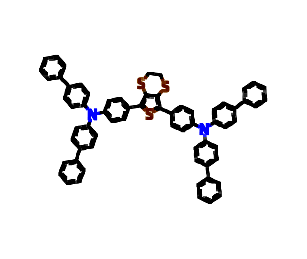 c1ccc(-c2ccc(N(c3ccc(-c4ccccc4)cc3)c3ccc(-c4sc(-c5ccc(N(c6ccc(-c7ccccc7)cc6)c6ccc(-c7ccccc7)cc6)cc5)c5c4SCCS5)cc3)cc2)cc1